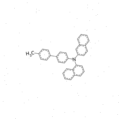 Cc1ccc(-c2ccc(N(c3ccc4ccccc4c3)c3cccc4ccccc34)cc2)cc1